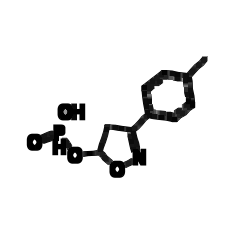 Cc1ccc(C2=NOC(O[PH](=O)O)C2)cc1